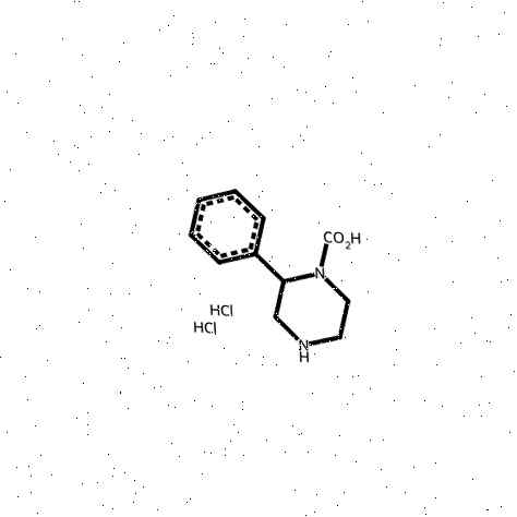 Cl.Cl.O=C(O)N1CCNCC1c1ccccc1